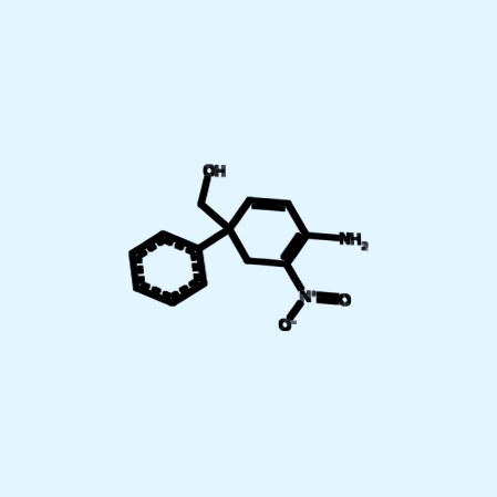 NC1=C([N+](=O)[O-])CC(CO)(c2ccccc2)C=C1